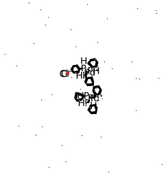 [Cl-].[Cl-].c1ccc([PH][Pd+]([PH]c2ccccc2)[PH]c2ccccc2)cc1.c1ccc([PH][Pd+]([PH]c2ccccc2)[PH]c2ccccc2)cc1